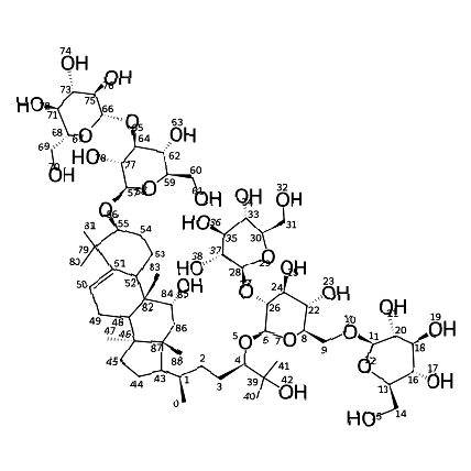 C[C@H](CC[C@@H](O[C@@H]1O[C@H](CO[C@@H]2O[C@H](CO)[C@@H](O)[C@H](O)[C@H]2O)[C@@H](O)[C@H](O)[C@H]1O[C@@H]1O[C@H](CO)[C@@H](O)[C@H](O)[C@H]1O)C(C)(C)O)C1CC[C@@]2(C)C3CC=C4C(CC[C@H](O[C@@H]5O[C@H](CO)[C@@H](O)[C@H](O[C@@H]6O[C@H](CO)[C@@H](O)[C@H](O)[C@H]6O)[C@H]5O)C4(C)C)[C@]3(C)[C@H](O)C[C@]12C